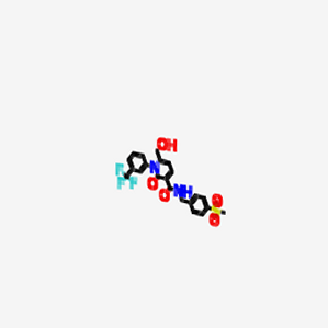 CS(=O)(=O)c1ccc(CNC(=O)c2ccc(CO)n(-c3cccc(C(F)(F)F)c3)c2=O)cc1